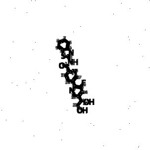 O=C(Nc1nc2ccccc2s1)c1ccc(-c2ncc([C@H](O)CO)cc2F)cn1